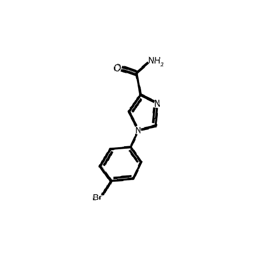 NC(=O)c1cn(-c2ccc(Br)cc2)cn1